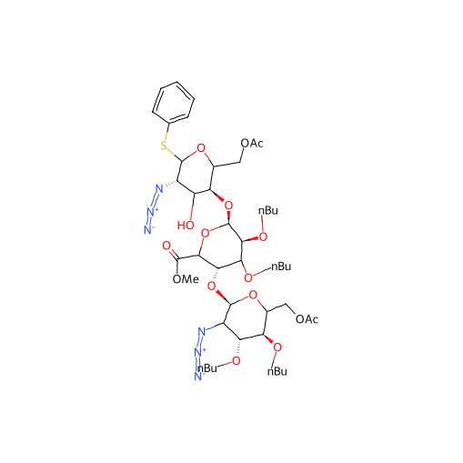 CCCCOC1[C@H](O[C@H]2OC(COC(C)=O)[C@@H](OCCCC)[C@H](OCCCC)C2N=[N+]=[N-])C(C(=O)OC)O[C@@H](O[C@@H]2C(COC(C)=O)OC(Sc3ccccc3)[C@@H](N=[N+]=[N-])C2O)[C@H]1OCCCC